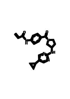 C=CC(=O)Nc1ccc(C(=O)N2CCC(Nc3ncc(C4CC4)cn3)C2)cc1